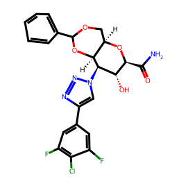 NC(=O)[C@@H]1O[C@@H]2COC(c3ccccc3)O[C@@H]2[C@H](n2cc(-c3cc(F)c(Cl)c(F)c3)nn2)[C@H]1O